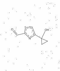 O=Cc1nc(C2(O)CC2)cs1